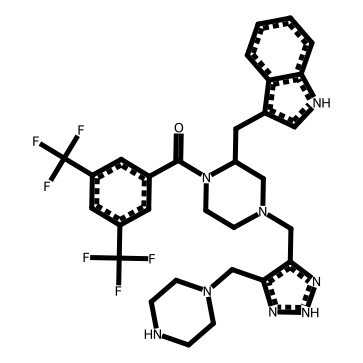 O=C(c1cc(C(F)(F)F)cc(C(F)(F)F)c1)N1CCN(Cc2n[nH]nc2CN2CCNCC2)CC1Cc1c[nH]c2ccccc12